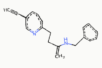 C#Cc1ccc(CCC(=C)NCc2ccccc2)nc1